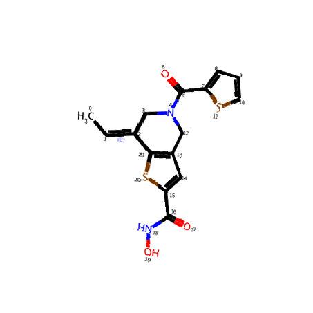 C/C=C1\CN(C(=O)c2cccs2)Cc2cc(C(=O)NO)sc21